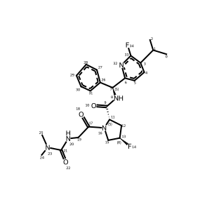 CC(C)c1ccc([C@@H](NC(=O)[C@@H]2C[C@@H](F)CN2C(=O)CNC(=O)N(C)C)c2ccccc2)nc1F